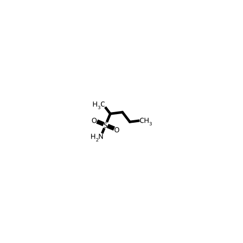 CCCC(C)S(N)(=O)=O